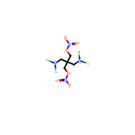 O=[N+]([O-])OCC(CO[N+](=O)[O-])(CN(F)F)CN(F)F